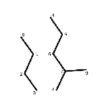 CCCC.CCCC(C)C